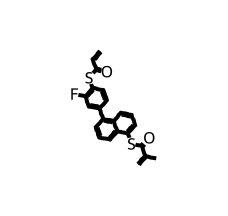 C=CC(=O)Sc1ccc(-c2cccc3c(SC(=O)C(=C)C)cccc23)cc1F